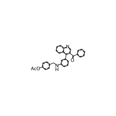 CC(=O)Oc1ccc(CNc2cccc(-c3c(C(=O)c4ccccc4)cnc4ccccc34)c2)cc1